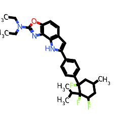 CCN(CC)c1nc2c(ccc3cc(-c4ccc(C5(F)CC(C)CC(F)C5(F)C(C)C)cc4)[nH]c32)o1